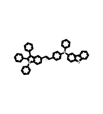 C(=C\c1ccc2c(c1)c(-c1ccccc1)c(-c1ccccc1)n2-c1ccccc1)/c1ccc(N(c2ccccc2)c2ccc3sc4ccccc4c3c2)cc1